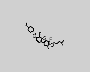 CC[C@H]1CC[C@H](COc2ccc3c4c(sc3c2F)C(F)=C(OCCCC(C)C)C(C)C4)CC1